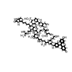 CC(C)C[C@@H](C=O)[N]C(=O)CNC(=O)[C@H](CC(C)C)NC(=O)[C@@H]1CCCN1C(=O)[C@H](CCC(=O)O)N(C(=O)CCCCC1SCC2NC(=O)NC21)C(=O)[C@H](CCCNC(=N)N)NC(=O)[C@H](CCC(=O)O)NC(=O)[C@H](C)NC(=O)[C@@H](N)CCCC(N)c1nc(Nc2ccc(-c3c4ccc(=O)cc-4oc4cc(O)ccc34)c(C(=O)O)c2)nc(SCCO)n1